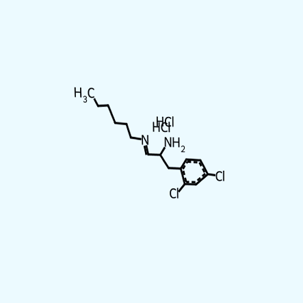 CCCCCCN=CC(N)Cc1ccc(Cl)cc1Cl.Cl.Cl